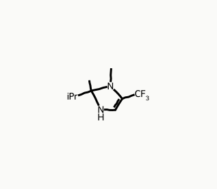 CC(C)C1(C)NC=C(C(F)(F)F)N1C